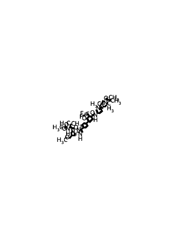 COCC1C[C@@H](c2nc(-c3ccc(-c4ccc(C(=O)Nc5ccc(N6CCN(C(=O)C(C)(C)C)C[C@H]6C)nc5)c(F)c4OC(F)(F)F)cc3)c[nH]2)N(C(=O)[C@@H](NC(=O)OC)C(C)C)C1